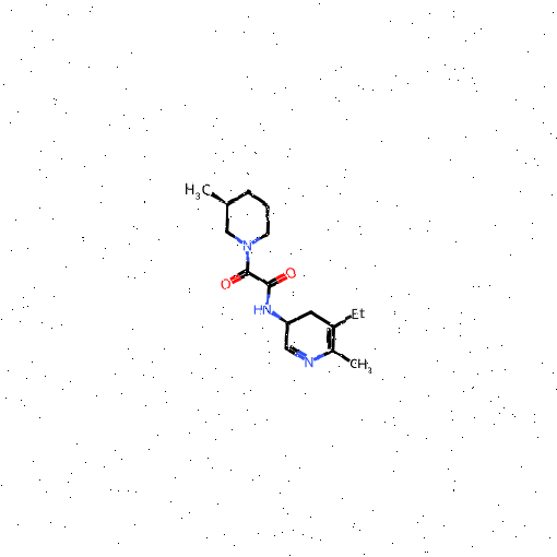 CCC1=C(C)N=C[C@@H](NC(=O)C(=O)N2CCC[C@H](C)C2)C1